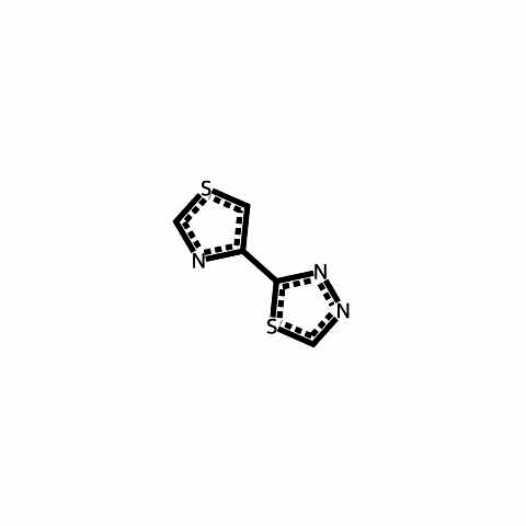 c1nc(-c2nncs2)cs1